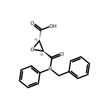 O=C(O)[C@H]1O[C@@H]1C(=O)N(Cc1ccccc1)c1ccccc1